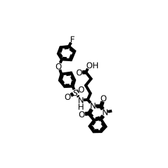 Cn1c(=O)n(C(CCCC(=O)O)NS(=O)(=O)c2ccc(Oc3ccc(F)cc3)cc2)c(=O)c2ccccc21